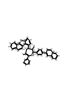 CC1=C(c2ccccc2)N=C(c2ccc(-c3ccc4ccccc4c3)cc2)C(C)C(c2cccc3sc4c5ccccc5ccc4c23)C1